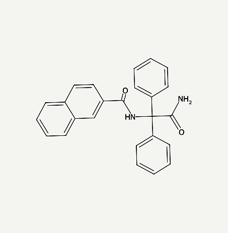 NC(=O)C(NC(=O)c1ccc2ccccc2c1)(c1ccccc1)c1ccccc1